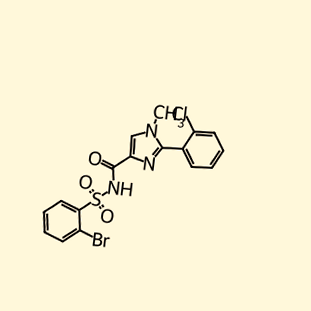 Cn1cc(C(=O)NS(=O)(=O)c2ccccc2Br)nc1-c1ccccc1Cl